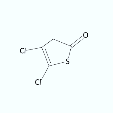 O=C1CC(Cl)=C(Cl)S1